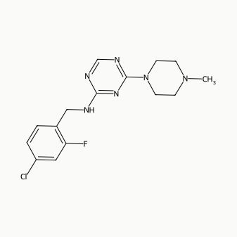 CN1CCN(c2ncnc(NCc3ccc(Cl)cc3F)n2)CC1